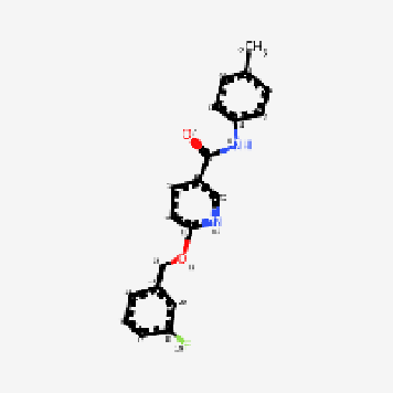 Cc1ccc(NC(=O)c2ccc(OCc3cccc(F)c3)nc2)cc1